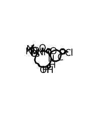 Cc1nnc(C[C@H]2CC/C=C/[C@H](O)[C@@H]3CC[C@H]3CN3CCCCc4cc(Cl)ccc4COc4ccc(cc43)C(=O)NS2(=O)=O)o1